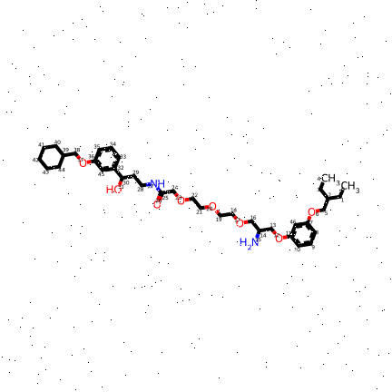 CCC(CC)COc1cccc(OCC(N)COCCOCCOCC(=O)NCCC(O)c2cccc(OCC3CCCCC3)c2)c1